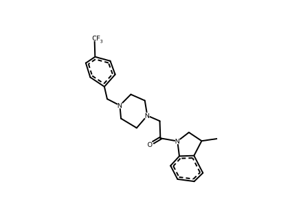 CC1CN(C(=O)CN2CCN(Cc3ccc(C(F)(F)F)cc3)CC2)c2ccccc21